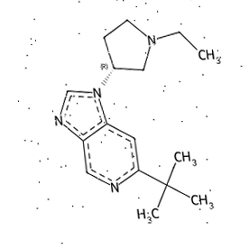 CCN1CC[C@@H](n2cnc3cnc(C(C)(C)C)cc32)C1